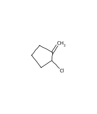 C=C1CCCC1Cl